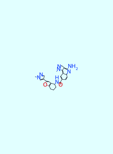 Cn1cc(-c2cc3c(o2)CCCC3NC(=O)c2ccc3nc(N)c4cnn(C)c4c3c2)cn1